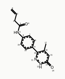 C=CCC(=O)Nc1ccc(-c2n[nH]c(=O)cc2C)cc1